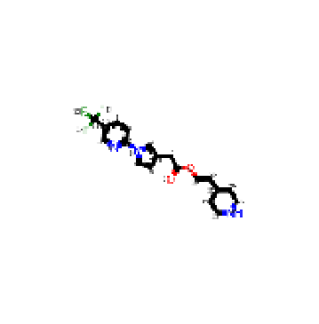 O=C(Cc1ccn(-c2ccc(C(F)(F)F)cn2)c1)OCCC1CCNCC1